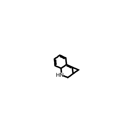 C1=CC2=C3CC3CNC2C=C1